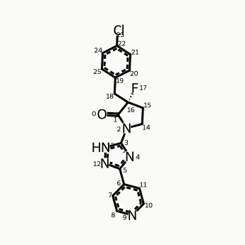 O=C1N(c2nc(-c3ccncc3)n[nH]2)CC[C@]1(F)Cc1ccc(Cl)cc1